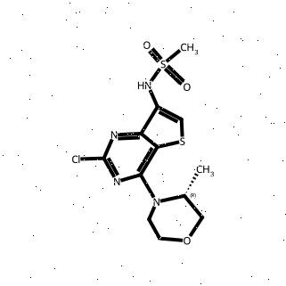 C[C@@H]1COCCN1c1nc(Cl)nc2c(NS(C)(=O)=O)csc12